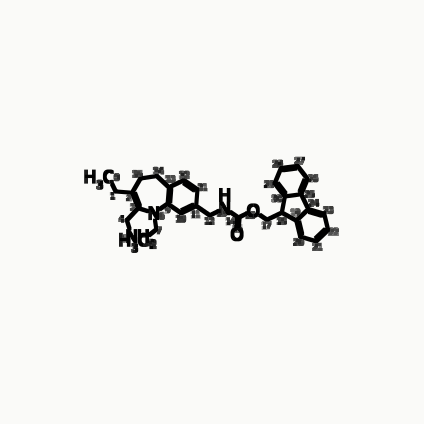 CCC1=C(CN)N(CC)c2cc(CNC(=O)OCC3c4ccccc4-c4ccccc43)ccc2CC1